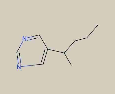 CCCC(C)c1cncnc1